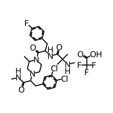 CNC(=O)C(Cc1ccc(Cl)c(Cl)c1)N1CCN(C(=O)C(Cc2ccc(F)cc2)NC(=O)C(C)(C)NC)C(C)C1.O=C(O)C(F)(F)F